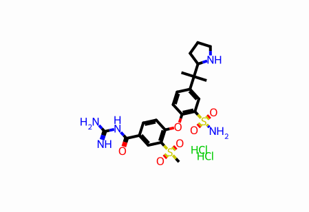 CC(C)(c1ccc(Oc2ccc(C(=O)NC(=N)N)cc2S(C)(=O)=O)c(S(N)(=O)=O)c1)C1CCCN1.Cl.Cl